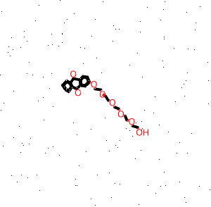 O=C1c2ccccc2C(=O)c2cc(OCCOCCOCCOCCOCCO)ccc21